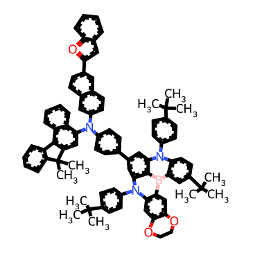 CC(C)(C)c1ccc(N2c3ccc(C(C)(C)C)cc3B3c4cc5c(cc4N(c4ccc(C(C)(C)C)cc4)c4cc(-c6ccc(N(c7ccc8cc(-c9cc%10ccccc%10o9)ccc8c7)c7cc8c(c9ccccc79)-c7ccccc7C8(C)C)cc6)cc2c43)OCCO5)cc1